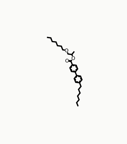 CCCCCCCOCC(C)OC(=O)c1ccc(-c2ccc(CCCCCCC)cc2)cc1